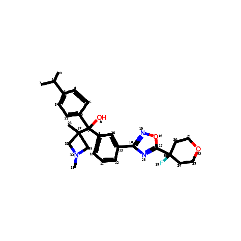 CC(C)c1ccc(C(O)(c2cccc(-c3noc(C4(F)CCOCC4)n3)c2)C2(C)CN(C)C2)cc1